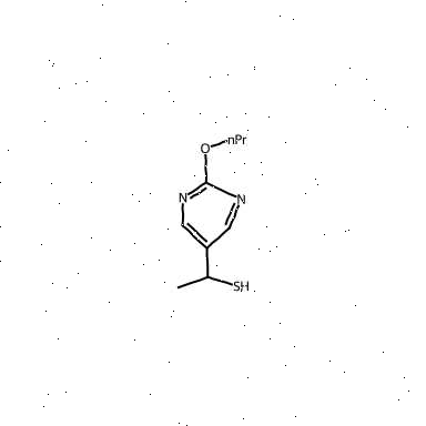 CCCOc1ncc(C(C)S)cn1